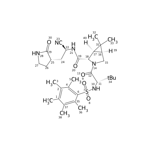 Cc1c(C)c(C)c(S(=O)(=O)N[C@H](C(=O)N2C[C@H]3[C@@H]([C@H]2C(=O)N[C@H](C#N)C[C@@H]2CCNC2=O)C3(C)C)C(C)(C)C)c(C)c1C